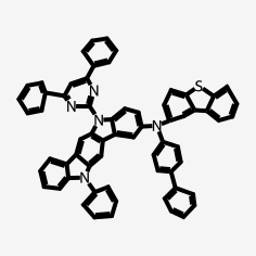 c1ccc(-c2ccc(N(c3ccc4sc5ccccc5c4c3)c3ccc4c(c3)c3cc5c(cc3n4-c3nc(-c4ccccc4)cc(-c4ccccc4)n3)c3ccccc3n5-c3ccccc3)cc2)cc1